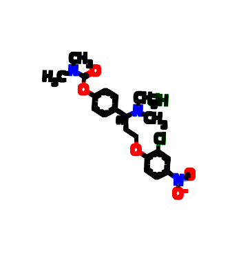 CN(C)C(=O)Oc1ccc([C@H](CCOc2ccc([N+](=O)[O-])cc2Cl)N(C)C)cc1.Cl